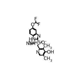 Cc1cnc(C[S+]([O-])c2nc3cc(OC(F)F)ccc3[nH]2)c(C)c1O.[NaH].[NaH]